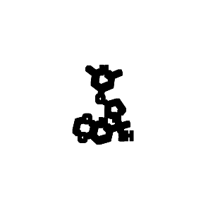 Cc1cc(O[C@H]2CCN(C(C)(S)c3ccc4c(n3)OCCO4)C2)cc(C)n1